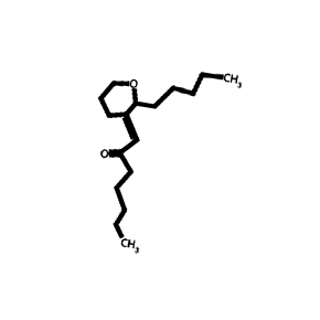 CCCCCC(=O)C=C1CCCOC1CCCCC